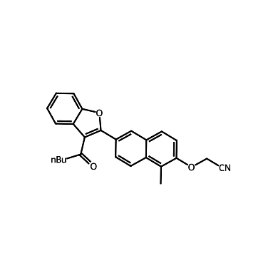 CCCCC(=O)c1c(-c2ccc3c(C)c(OCC#N)ccc3c2)oc2ccccc12